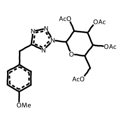 COc1ccc(Cc2nnn(C3OC(COC(C)=O)C(OC(C)=O)C(OC(C)=O)C3OC(C)=O)n2)cc1